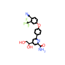 N#Cc1ccc(Oc2ccc(-c3cc(C(O)CO)cc(C(N)=O)n3)cc2)cc1C(F)(F)F